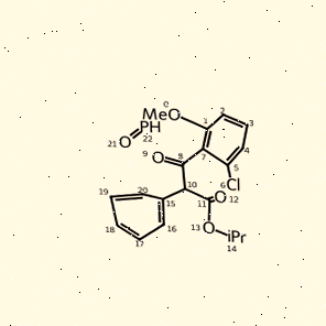 COc1cccc(Cl)c1C(=O)C(C(=O)OC(C)C)c1ccccc1.O=P